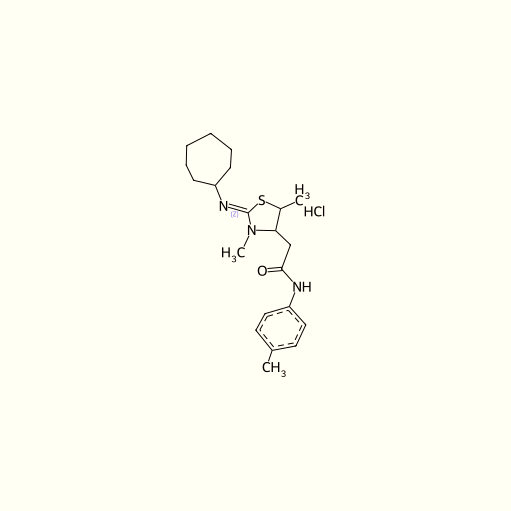 Cc1ccc(NC(=O)CC2C(C)S/C(=N\C3CCCCCC3)N2C)cc1.Cl